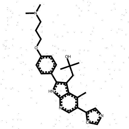 Cc1c(-c2cnco2)cnc2[nH]c(-c3ccc(OCCCN(C)C)cc3)c(CC(C)(C)O)c12